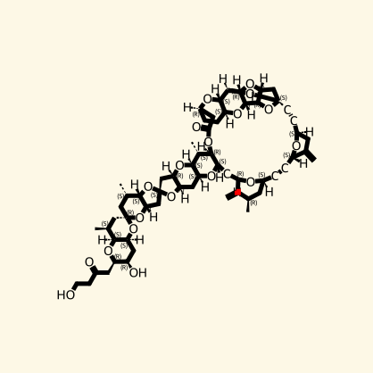 C=C1C[C@@H]2CC[C@@]34C[C@H]5O[C@H]6[C@@H](O3)[C@H]3O[C@H](CC[C@@H]3O[C@H]6[C@@H]5O4)CC(=O)O[C@@H]3[C@@H](C)[C@@H]4O[C@@H]5C[C@]6(C[C@@H]7O[C@]8(C[C@H](C)[C@@H]9O[C@H](CC(=O)CCO)[C@H](O)C[C@@H]9O8)C[C@H](C)[C@@H]7O6)O[C@@H]5C[C@@H]4O[C@H]3C[C@H]3O[C@@H](CC[C@@H]1O2)C[C@@H](C)C3=C